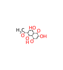 CC(=O)c1cc(O)c2c(c1O)C(=O)C=C(O)C2=O